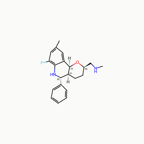 CNC[C@H]1CC[C@@H]2[C@H](O1)c1cc(C)cc(F)c1N[C@H]2c1ccccc1